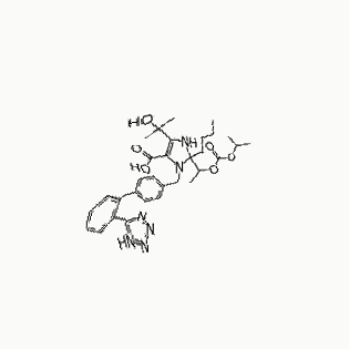 CCCCC1(C(C)OC(=O)OC(C)C)NC(C(C)(C)O)=C(C(=O)O)N1Cc1ccc(-c2ccccc2-c2nnn[nH]2)cc1